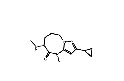 CNC1CCCn2nc(C3CC3)cc2N(C)C1=O